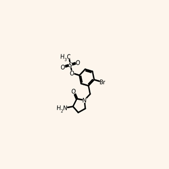 CS(=O)(=O)Oc1ccc(Br)c(CN2CCC(N)C2=O)c1